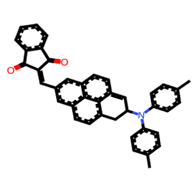 Cc1ccc(N(c2ccc(C)cc2)C2C=c3ccc4cc(C=C5C(=O)c6ccccc6C5=O)cc5ccc(c3c54)C2)cc1